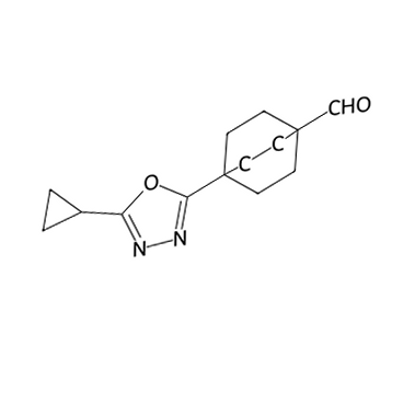 O=CC12CCC(c3nnc(C4CC4)o3)(CC1)CC2